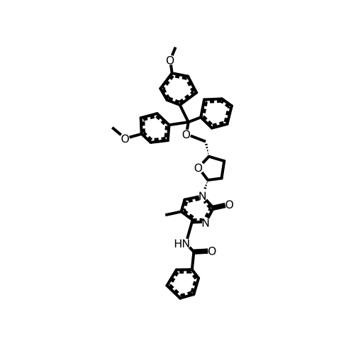 COc1ccc(C(OC[C@@H]2CC[C@H](n3cc(C)c(NC(=O)c4ccccc4)nc3=O)O2)(c2ccccc2)c2ccc(OC)cc2)cc1